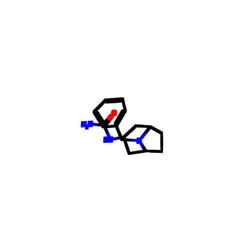 NC(=O)NC1CC2CCC(C1)N2Cc1ccccc1